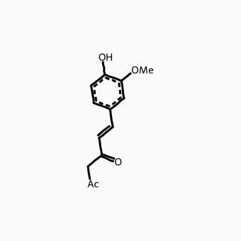 COc1cc(C=CC(=O)CC(C)=O)ccc1O